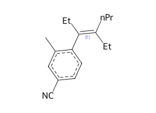 CCC/C(CC)=C(\CC)c1ccc(C#N)cc1C